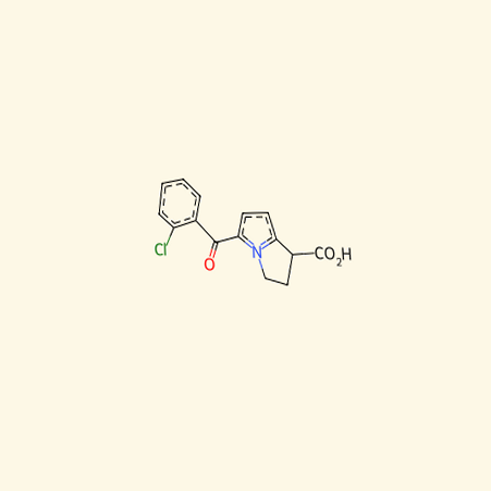 O=C(c1ccccc1Cl)c1ccc2n1CCC2C(=O)O